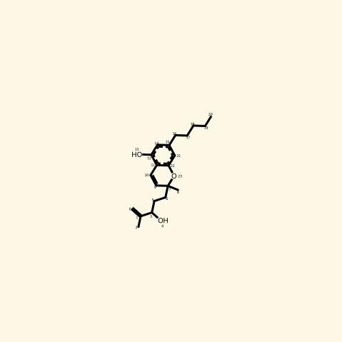 C=C(C)C(O)CCC1(C)C=Cc2c(O)cc(CCCCC)cc2O1